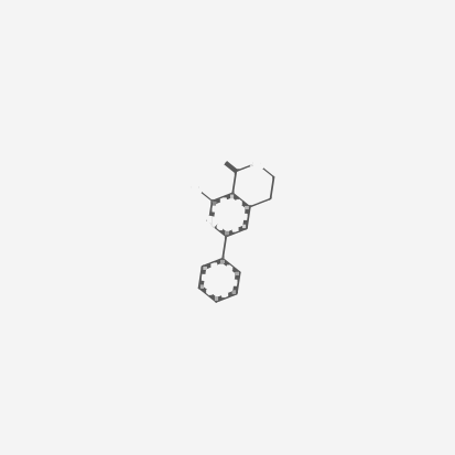 O=C1OCCc2cc(-c3ccccc3)nc(O)c21